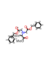 CCCCCC(C(=O)OC)N(CC(=O)OCc1ccccc1)CC(=O)OCc1ccccc1